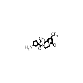 N[C@@H]1CC[C@](CC(F)(F)F)(C(=O)N2CCn3c(cc(C(F)(F)F)cc3=O)C2)C1